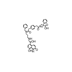 O=C(Cc1ccc(CC(=O)N2CC(C(=O)O)(c3ccccc3)C2)cc1)N(CCCNC[C@H](O)c1ccc(O)c2[nH]c(=O)ccc12)Cc1ccccc1